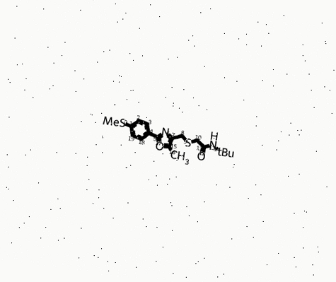 CSc1ccc(-c2nc(CSCC(=O)NC(C)(C)C)c(C)o2)cc1